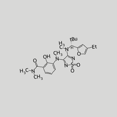 CCc1coc([C@H](N(C)C2=NS(=O)(=O)N=C2N(C)c2cccc(C(=O)N(C)C)c2O)C(C)(C)C)c1